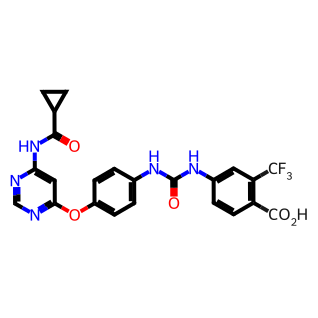 O=C(Nc1ccc(Oc2cc(NC(=O)C3CC3)ncn2)cc1)Nc1ccc(C(=O)O)c(C(F)(F)F)c1